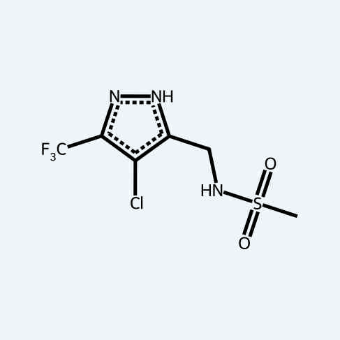 CS(=O)(=O)NCc1[nH]nc(C(F)(F)F)c1Cl